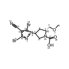 COC[C@H]1CC(n2nc(Br)c(C#N)c2Br)CN1C(=O)O